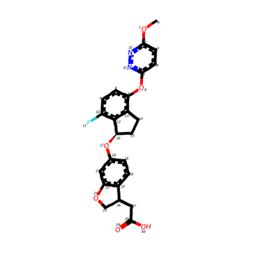 COc1ccc(Oc2ccc(F)c3c2CC[C@H]3Oc2ccc3c(c2)OCC3CC(=O)O)nn1